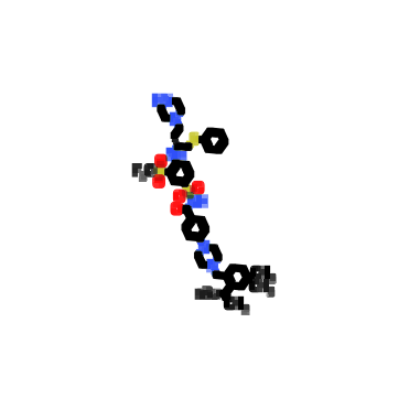 C=C(CCCC)C1=C(CN2CCN(c3ccc(C(=O)NS(=O)(=O)c4ccc(N[C@H](CCN5CCNCC5)CSc5ccccc5)c(S(=O)(=O)C(F)(F)F)c4)cc3)CC2)CCC(C)(C)C1